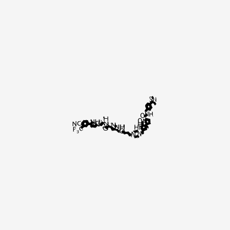 Cc1ncsc1-c1ccc(CNC(=O)[C@@H]2CCC3N2C(=O)[C@H]2NC(CN4CCN(CCCOCc5cc(C(=O)N[C@@H](C)CN/C=C\C(=N)c6ccc(C#N)c(C(F)(F)F)c6)n[nH]5)CC4)=CC32C)cc1